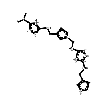 CN(C)c1nnc(NCc2ccn(CNc3nnc(NCc4cc[nH]c4)[nH]3)c2)[nH]1